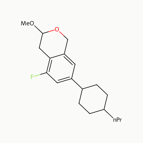 CCCC1CCC(c2cc(F)c3c(c2)COC(OC)C3)CC1